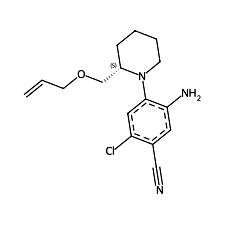 C=CCOC[C@@H]1CCCCN1c1cc(Cl)c(C#N)cc1N